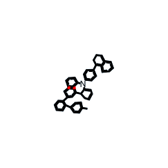 Cc1ccc(-c2ccccc2-c2cccc(C3CC=CC=C3N(c3ccccc3)c3ccc(C4=c5ccccc5=CCC4)cc3)c2)cc1